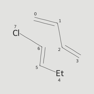 C=CC=C.CCC=CCl